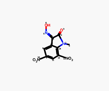 CN1C(=O)/C(=N\O)c2cc([N+](=O)[O-])cc([N+](=O)[O-])c21